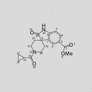 COC(=O)c1ccc2c(c1)C1(CCN(C(=O)C3CC3)CC1)C(=O)N2